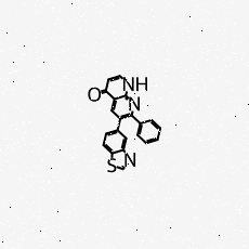 O=c1cc[nH]c2nc(-c3ccccc3)c(-c3ccc4scnc4c3)cc12